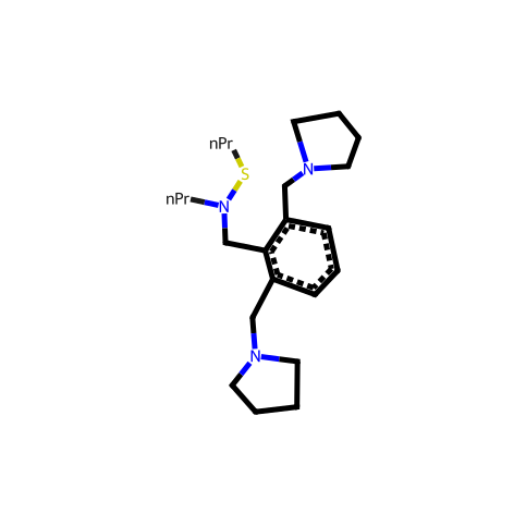 CCCSN(CCC)Cc1c(CN2CCCC2)cccc1CN1CCCC1